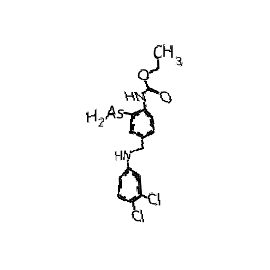 CCOC(=O)Nc1ccc(CNc2ccc(Cl)c(Cl)c2)cc1[AsH2]